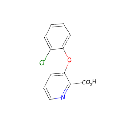 O=C(O)c1ncccc1Oc1ccccc1Cl